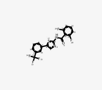 O=C(Nc1ncc(-c2cccc(C(F)(F)F)c2)s1)c1c(F)cccc1F